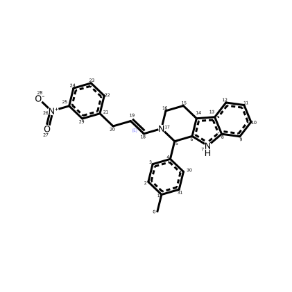 Cc1ccc(C2c3[nH]c4ccccc4c3CCN2/C=C/Cc2cccc([N+](=O)[O-])c2)cc1